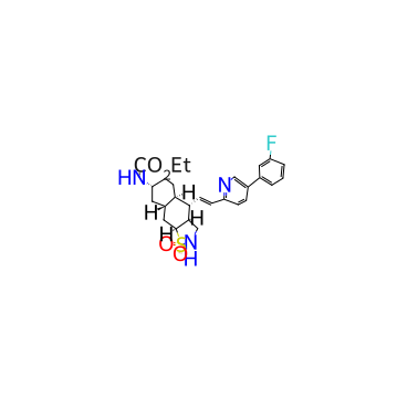 CCOC(=O)N[C@@H]1CC[C@@H]2[C@@H](C1)C[C@H]1[C@H](CNS1(=O)=O)[C@H]2/C=C/c1ccc(-c2cccc(F)c2)cn1